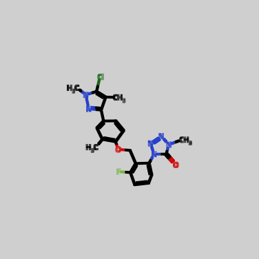 Cc1cc(-c2nn(C)c(Cl)c2C)ccc1OCc1c(F)cccc1-n1nnn(C)c1=O